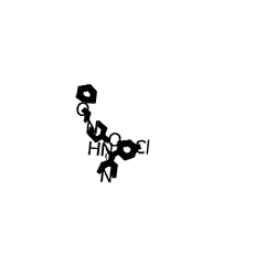 O=C(N[C@H](c1ccncc1)c1ccc(Cl)cc1)C1CCN(CCOc2ccccc2)CC1